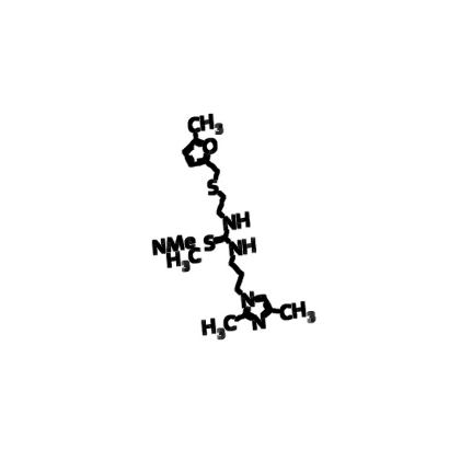 CNC.Cc1cn(CCCNC(=S)NCCSCc2ccc(C)o2)c(C)n1